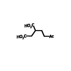 CC(=O)CCC(CC(=O)O)C(=O)O